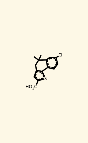 CC1(C)Cc2cc(C(=O)O)sc2-c2ccc(Cl)cc21